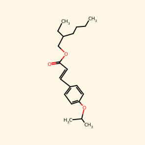 CCCCC(CC)COC(=O)C=Cc1ccc(OC(C)C)cc1